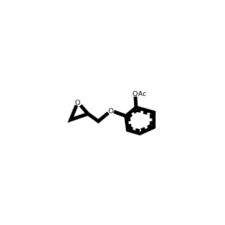 CC(=O)Oc1ccccc1OCC1CO1